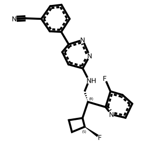 N#Cc1cccc(-c2ccc(NC[C@H](c3ncccc3F)C3CC[C@@H]3F)nn2)c1